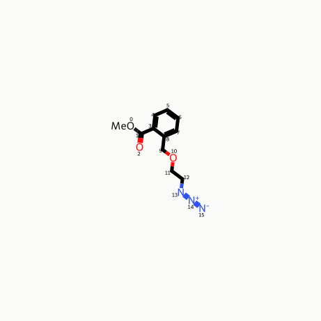 COC(=O)c1ccccc1COCCN=[N+]=[N-]